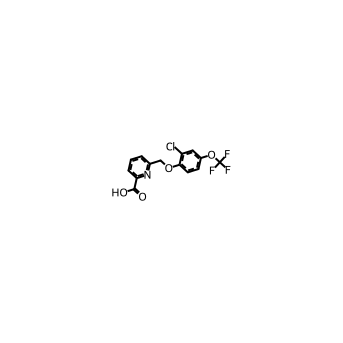 O=C(O)c1cccc(COc2ccc(OC(F)(F)F)cc2Cl)n1